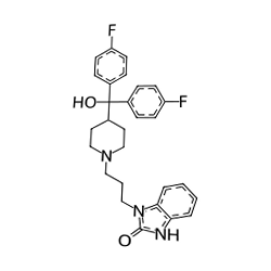 O=c1[nH]c2ccccc2n1CCCN1CCC(C(O)(c2ccc(F)cc2)c2ccc(F)cc2)CC1